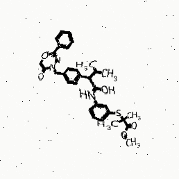 COC(=O)C(C)(C)Sc1cccc(NC(O)C(c2ccc(CN3N=C(c4ccccc4)OCC3=O)cc2)C(C)C)c1